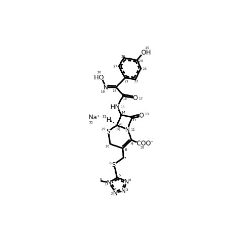 Cn1nnnc1SCC1=C(C(=O)[O-])N2C(=O)C(NC(=O)C(=NO)c3ccc(O)cc3)[C@@H]2SC1.[Na+]